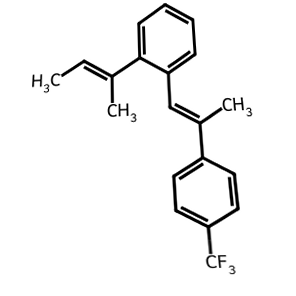 C/C=C(\C)c1ccccc1/C=C(\C)c1ccc(C(F)(F)F)cc1